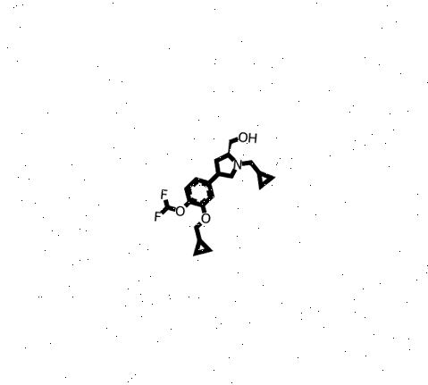 OC[C@@H]1CC(c2ccc(OC(F)F)c(OCC3CC3)c2)CN1CC1CC1